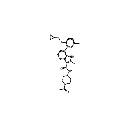 CC(=O)N1CCC(NC(=O)c2c(C)[nH]c3c(-c4cc(C)ccc4OCC4CC4)ccnc23)CC1